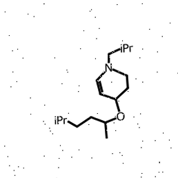 CC(C)CCC(C)OC1C=CN(CC(C)C)CC1